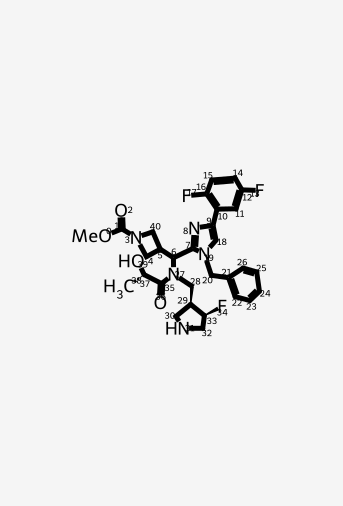 COC(=O)N1CC(C(c2nc(-c3cc(F)ccc3F)cn2Cc2ccccc2)N(C[C@@H]2CNC[C@@H]2F)C(=O)[C@H](C)O)C1